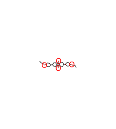 CCCOC1CCC(C2CCC3(CC2)C(=O)C2(CCC(C4CCC(OCCC)CC4)CC2)C3=O)CC1